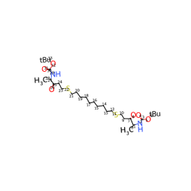 C[C@H](NC(=O)OC(C)(C)C)C(=O)CCSCCCCCCCCCCSCCC(=O)[C@H](C)NC(=O)OC(C)(C)C